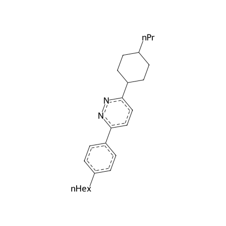 CCCCCCc1ccc(-c2ccc(C3CCC(CCC)CC3)nn2)cc1